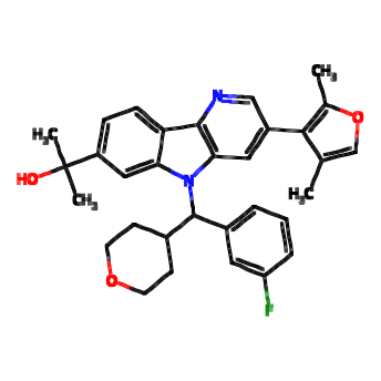 Cc1coc(C)c1-c1cnc2c3ccc(C(C)(C)O)cc3n(C(c3cccc(F)c3)C3CCOCC3)c2c1